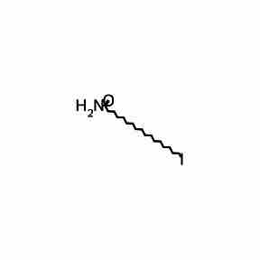 NC(=O)CCCCCCCCCCCCCCCCI